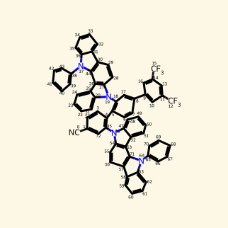 N#Cc1ccc(-c2ccc(-c3cc(C(F)(F)F)cc(C(F)(F)F)c3)cc2-n2c3ccccc3c3c2ccc2c4ccccc4n(-c4ccccc4)c23)c(-n2c3ccccc3c3c2ccc2c4ccccc4n(-c4ccccc4)c23)c1